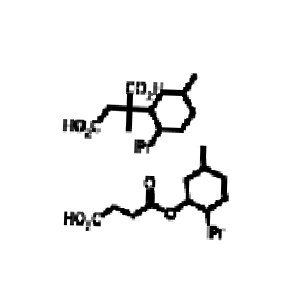 CC1CCC(C(C)C)C(C(C)(CC(=O)O)C(=O)O)C1.CC1CCC(C(C)C)C(OC(=O)CCC(=O)O)C1